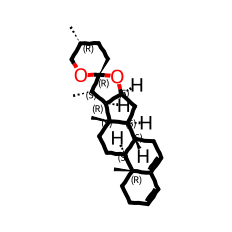 C[C@@H]1CC[C@@]2(OC1)O[C@H]1C[C@H]3[C@@H]4CC=C5C=CCC[C@]5(C)[C@H]4CC[C@]3(C)[C@H]1[C@@H]2C